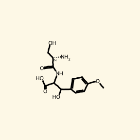 COc1ccc(C(O)C(NC(=O)[C@@H](N)CO)C(=O)O)cc1